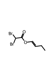 CC/C=C/OC(=O)C(Br)Br